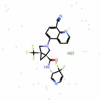 Cl.N#Cc1ccc(N2C[C@]3(C(=O)N[C@H]4C=NC=CC4(F)F)C[C@]3(C(F)(F)F)C2)c2cccnc12